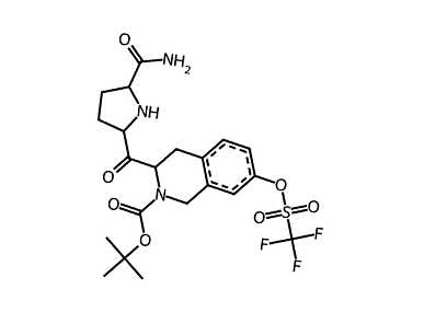 CC(C)(C)OC(=O)N1Cc2cc(OS(=O)(=O)C(F)(F)F)ccc2CC1C(=O)C1CCC(C(N)=O)N1